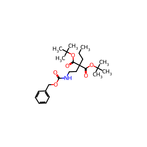 CCCC(CCNC(=O)OCc1ccccc1)(C(=O)OC(C)(C)C)C(=O)OC(C)(C)C